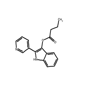 CCCC(=O)Oc1c(-c2cccnc2)[nH]c2ccccc12